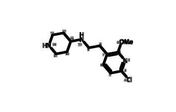 COc1nc(Cl)ccc1CCNC1CCNCC1